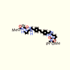 COC(=O)NC(C(=O)N1CCCC1c1ncc(-c2ccc(C=Cc3ccc(-c4cnc(C5CCCN5C(=O)N(CC(C)C)C(=O)OC)[nH]4)cc3)cc2)[nH]1)C(C)C